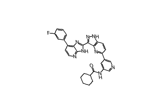 O=C(Nc1cncc(-c2ccc3[nH]nc(-c4nc5c(-c6cccc(F)c6)ccnc5[nH]4)c3n2)c1)C1CCCCC1